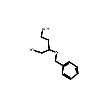 CCCCCCCCCCC(CO)OCc1ccccc1